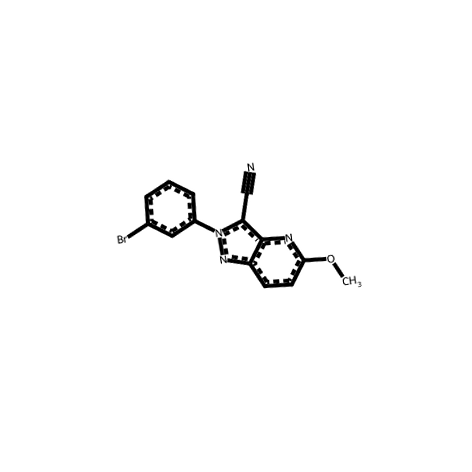 COc1ccc2nn(-c3cccc(Br)c3)c(C#N)c2n1